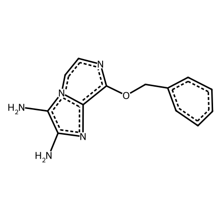 Nc1nc2c(OCc3ccccc3)nccn2c1N